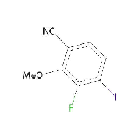 COc1c(C#N)ccc(I)c1F